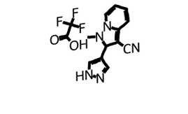 CN1C(c2cn[nH]c2)C(C#N)=C2C=CC=CN21.O=C(O)C(F)(F)F